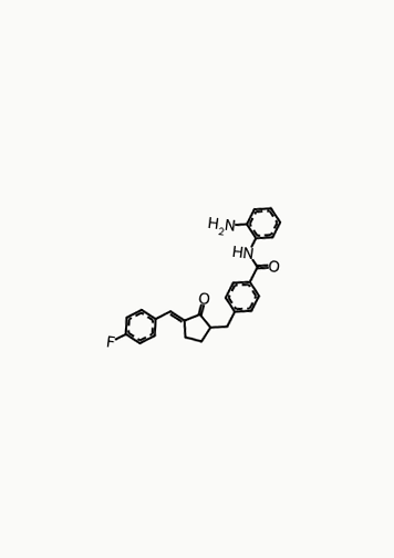 Nc1ccccc1NC(=O)c1ccc(CC2CC/C(=C\c3ccc(F)cc3)C2=O)cc1